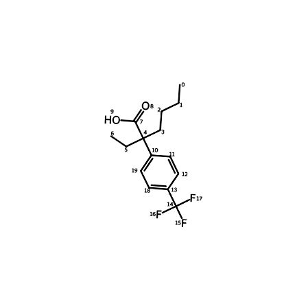 CCCCC(CC)(C(=O)O)c1ccc(C(F)(F)F)cc1